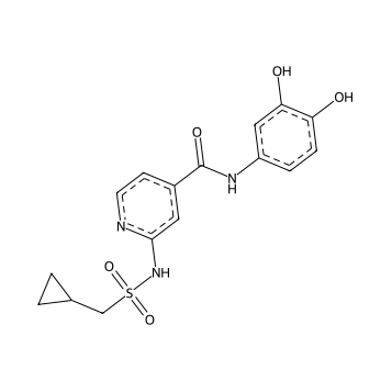 O=C(Nc1ccc(O)c(O)c1)c1ccnc(NS(=O)(=O)CC2CC2)c1